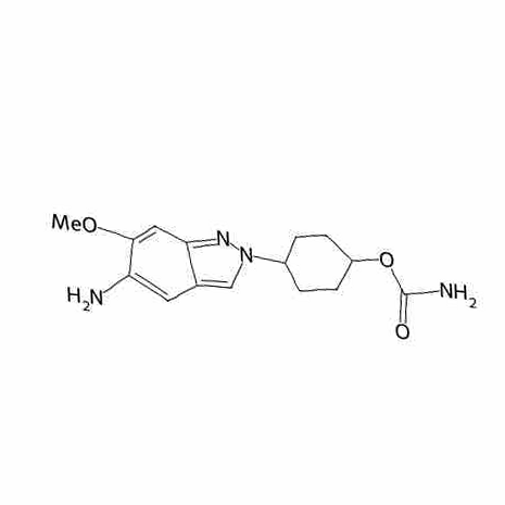 COc1cc2nn(C3CCC(OC(N)=O)CC3)cc2cc1N